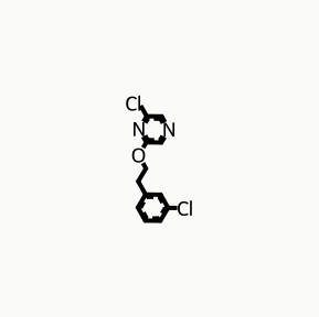 Clc1cccc(CCOc2cncc(Cl)n2)c1